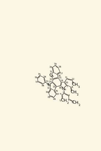 C=C/C=C(\C=C)n1c(C=C)c(/C=C\C)c2c3c4ccccc4oc3c3c(c4ccccc4n3-c3ccccc3)c21